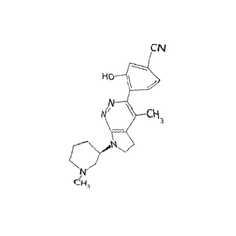 Cc1c(-c2ccc(C#N)cc2O)nnc2c1CCN2[C@@H]1CCCN(C)C1